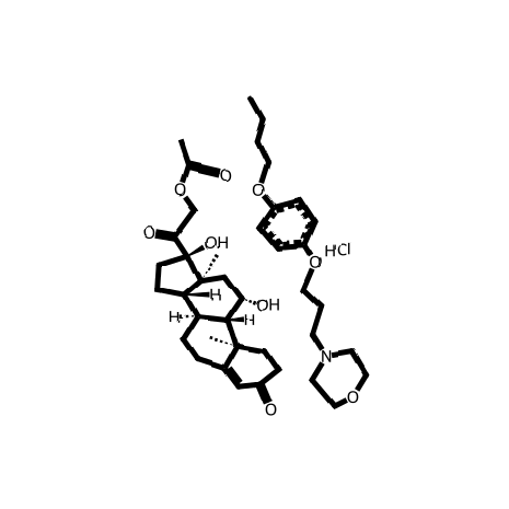 CC(=O)OCC(=O)[C@@]1(O)CC[C@H]2[C@@H]3CCC4=CC(=O)CC[C@]4(C)[C@H]3[C@@H](O)C[C@@]21C.CCCCOc1ccc(OCCCN2CCOCC2)cc1.Cl